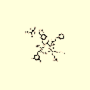 CCCC(CCC)S(=O)(=O)C[C@H](NC(=O)CCc1ccccc1)C(=O)N(Cc1cccc(CC)c1)C[C@@H](O)[C@@H](N)Cc1cc(F)cc(F)c1.O=C(O)C(F)(F)F